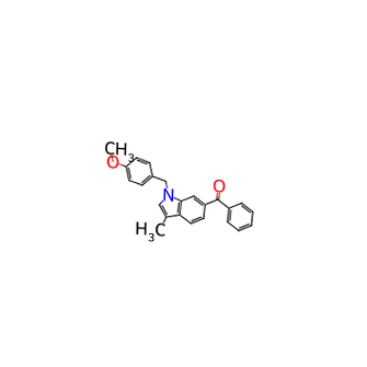 COc1ccc(Cn2cc(C)c3ccc(C(=O)c4ccccc4)cc32)cc1